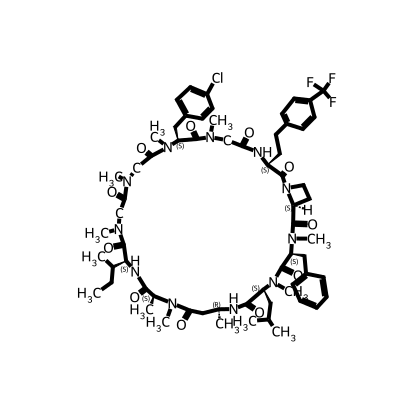 CCC(C)[C@@H]1NC(=O)[C@H](C)N(C)C(=O)C[C@@H](C)NC(=O)[C@H](CC(C)C)N(C)C(=O)[C@H](Cc2ccccc2)N(C)C(=O)[C@@H]2CCN2C(=O)[C@H](CCc2ccc(C(F)(F)F)cc2)NC(=O)CN(C)C(=O)[C@H](Cc2ccc(Cl)cc2)N(C)C(=O)CN(C)C(=O)CN(C)C1=O